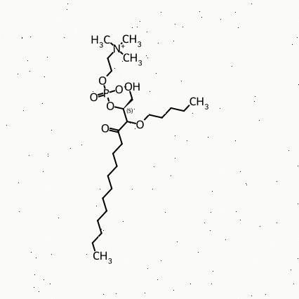 CCCCCCCCCCCC(=O)C(OCCCCC)[C@H](CO)OP(=O)([O-])OCC[N+](C)(C)C